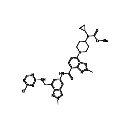 Cn1cc2cc(NC(=O)c3ccc(N4CCC(N(C(=O)OC(C)(C)C)C5CC5)CC4)c4cn(C)nc34)cc(CNc3ncnc(Cl)n3)c2n1